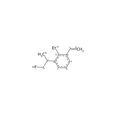 C=Cc1cccc([C](C)CF)c1CC